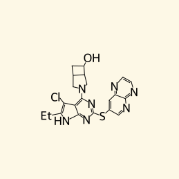 CCc1[nH]c2nc(Sc3cnc4nccnc4c3)nc(N3CC4CC(O)C4C3)c2c1Cl